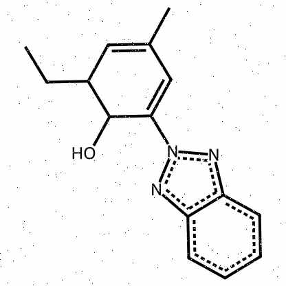 CCC1C=C(C)C=C(n2nc3ccccc3n2)C1O